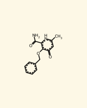 Cc1cc(=O)c(OCc2ccccc2)c(C(N)=O)[nH]1